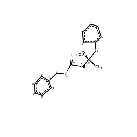 C[C@@](Cc1ccccc1)(NC(=O)OCc1ccccc1)C(=O)O